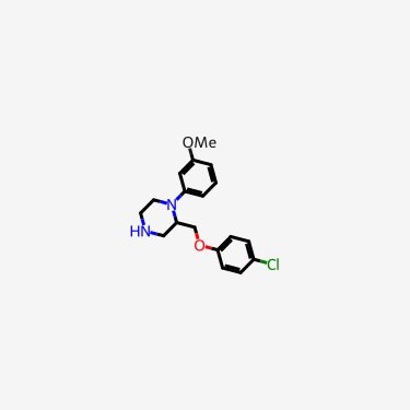 COc1cccc(N2CCNCC2COc2ccc(Cl)cc2)c1